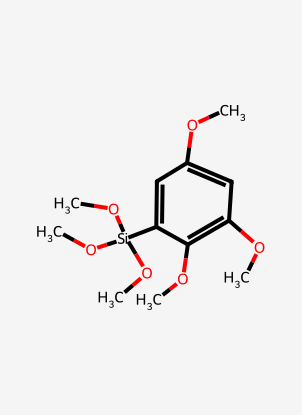 COc1cc(OC)c(OC)c([Si](OC)(OC)OC)c1